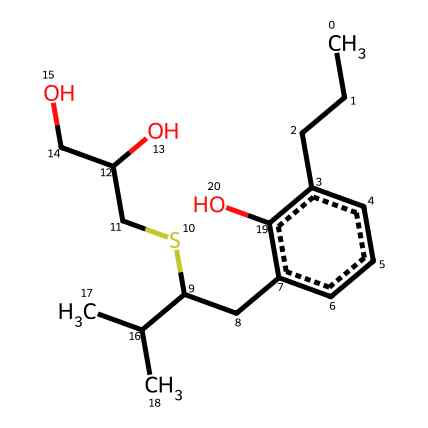 CCCc1cccc(CC(SCC(O)CO)C(C)C)c1O